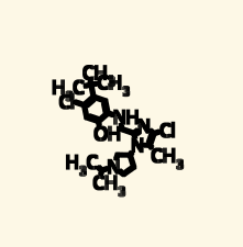 Cc1c(Cl)nc(CNc2cc(C(C)(C)C)c(Cl)cc2O)n1C1CCN(C(C)C)C1